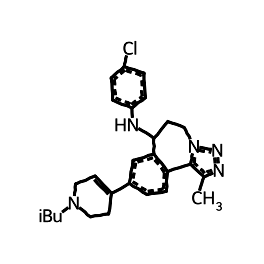 CCC(C)N1CC=C(c2ccc3c(c2)C(Nc2ccc(Cl)cc2)CCn2nnc(C)c2-3)CC1